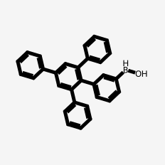 OBc1cccc(-c2c(-c3ccccc3)cc(-c3ccccc3)cc2-c2ccccc2)c1